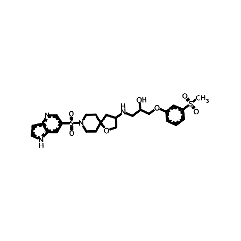 CS(=O)(=O)c1cccc(OCC(O)CNC2COC3(CCN(S(=O)(=O)c4cnc5cc[nH]c5c4)CC3)C2)c1